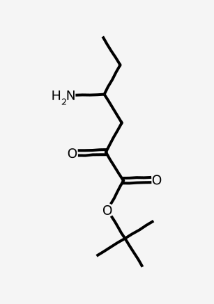 CCC(N)CC(=O)C(=O)OC(C)(C)C